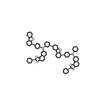 c1ccc(-c2nc3ccc4ccc(N(c5ccccc5)c5ccc(-c6cccc7c6oc6ccc(-c8cccc(N(c9ccc(-c%10cccc%11c%10oc%10ccccc%10%11)cc9)c9ccc%10ccc%11nc(-c%12ccccc%12)oc%11c%10c9)c8)cc67)cc5)cc4c3o2)cc1